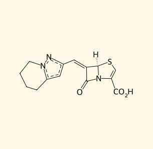 O=C(O)C1=CS[C@@H]2C(=Cc3cc4n(n3)CCCC4)C(=O)N12